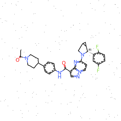 CC(=O)N1CCC(c2ccc(NC(=O)c3cnn4ccc(N5CC6CC6[C@@H]5c5cc(F)ccc5F)nc34)cc2)CC1